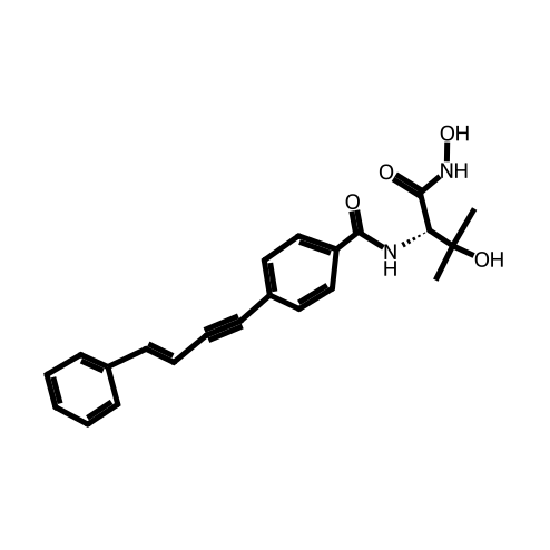 CC(C)(O)[C@H](NC(=O)c1ccc(C#C/C=C/c2ccccc2)cc1)C(=O)NO